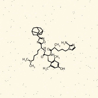 Cc1cc(O)cc(C)c1C[C@H](NC(=O)[C@H](C)CCCn1ccnc1N)C(=O)N[C@@H](CCCCN(C)C)c1nc(C23CC4CC(CC(C4)C2)C3)no1